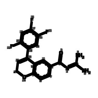 NC(N)=NC(=O)c1ccc2c(c1)C(c1cc(F)c(F)cc1F)=CCO2